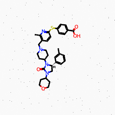 Cc1cccc([C@@H]2CN(C3CCOCC3)C(=O)N2C2CCN(Cc3ccc(Sc4ccc(C(=O)O)cc4)nc3C)CC2)c1